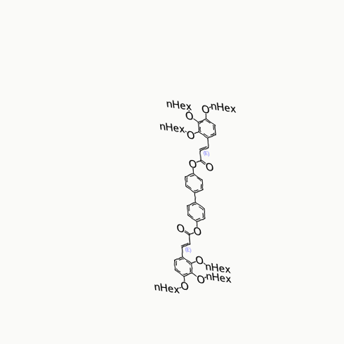 CCCCCCOc1ccc(/C=C/C(=O)Oc2ccc(-c3ccc(OC(=O)/C=C/c4ccc(OCCCCCC)c(OCCCCCC)c4OCCCCCC)cc3)cc2)c(OCCCCCC)c1OCCCCCC